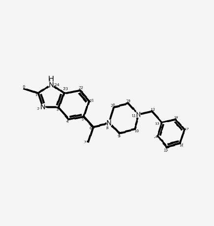 Cc1nc2cc(C(C)N3CCN(Cc4ccccc4)CC3)ccc2[nH]1